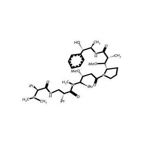 CC[C@H](C)C([C@@H](CC(=O)N1CCC[C@H]1C(OC)[C@@H](C)C(=O)N[C@H](C)[C@@H](O)c1ccccc1)OC)N(C)C(=O)[C@@H](CNC(=O)[C@H](C(C)C)N(C)C)C(C)C